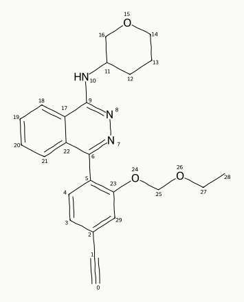 C#Cc1ccc(-c2nnc(NC3CCCOC3)c3ccccc23)c(OCOCC)c1